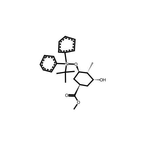 COC(=O)[C@@H]1C[C@@H](O)[C@@H](C)[C@H](O[Si](c2ccccc2)(c2ccccc2)C(C)(C)C)C1